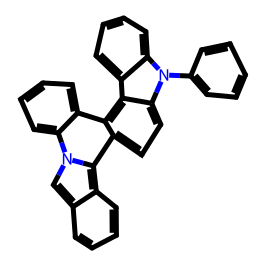 c1ccc(-n2c3ccccc3c3c4c5ccccc5n5cc6ccccc6c5c4ccc32)cc1